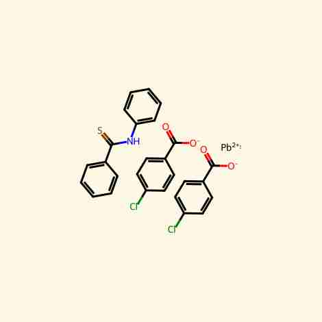 O=C([O-])c1ccc(Cl)cc1.O=C([O-])c1ccc(Cl)cc1.S=C(Nc1ccccc1)c1ccccc1.[Pb+2]